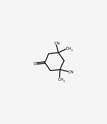 CC1(C#N)CC(=O)CC(C)(C#N)C1